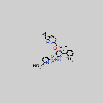 Cc1cccc(C)c1-c1cc(OCC(CC(C)C)NC2CC3(CC3)C2)cc(NS(=O)(=O)c2cccc(C(=O)O)n2)n1